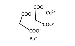 O=C([O-])CC(=O)[O-].O=C([O-])CC(=O)[O-].[Ba+2].[Cd+2]